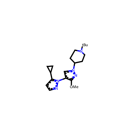 COc1nn(C2CCN(C(C)(C)C)CC2)cc1-n1nccc1C1CC1